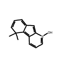 CC1(C)C=CC=C2C=c3c(ccc[si]3O)=C21